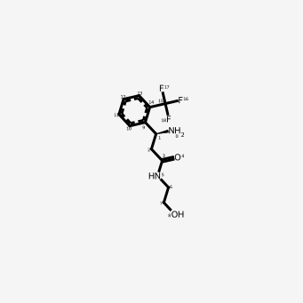 N[C@@H](CC(=O)NCCO)c1ccccc1C(F)(F)F